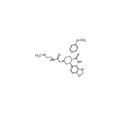 COCCNC(=O)CN1C[C@H](c2ccc(OC)cc2)[C@@H](C(=O)O)[C@@H](c2ccc3c(c2)OCO3)C1